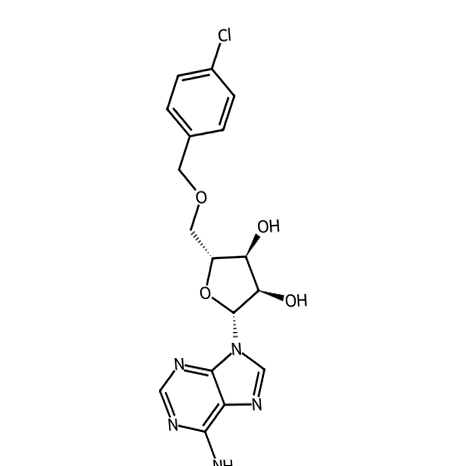 Nc1ncnc2c1ncn2[C@@H]1O[C@H](COCc2ccc(Cl)cc2)[C@@H](O)[C@H]1O